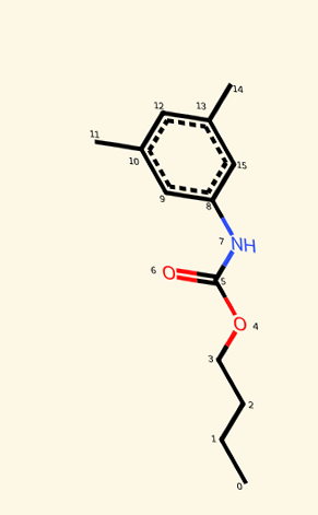 CCCCOC(=O)Nc1cc(C)cc(C)c1